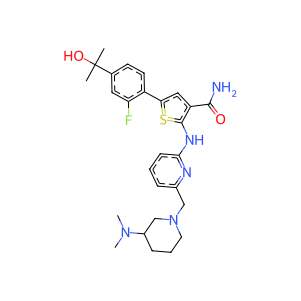 CN(C)C1CCCN(Cc2cccc(Nc3sc(-c4ccc(C(C)(C)O)cc4F)cc3C(N)=O)n2)C1